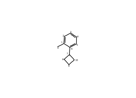 Cc1ccccc1[C]1CCC1